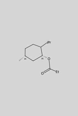 CCC(=O)O[C@@H]1C[C@H](C)CCC1C(C)C